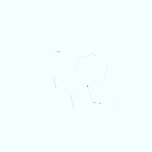 CC(C)(C)OC=O.CC(O)C(O)C1(CO)CCNCC1